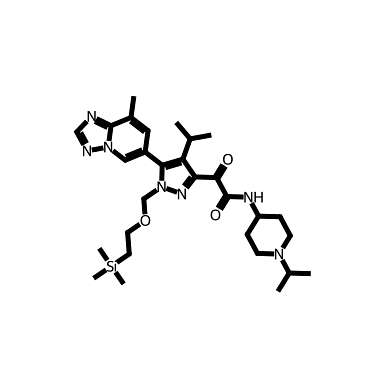 Cc1cc(-c2c(C(C)C)c(C(=O)C(=O)NC3CCN(C(C)C)CC3)nn2COCC[Si](C)(C)C)cn2ncnc12